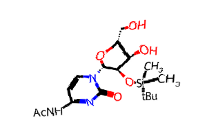 CC(=O)Nc1ccn([C@@H]2O[C@H](CO)[C@@H](O)[C@H]2O[Si](C)(C)C(C)(C)C)c(=O)n1